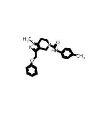 Cc1ccc(NC(=O)N2CCc3c(c(COc4ccccc4)nn3C)C2)cc1